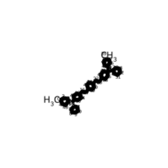 Cc1ccc(N(c2ccccc2)c2ccc(C=Cc3ccc(C=Cc4ccc(N(c5ccccc5)c5ccc(C)cc5)cc4)cc3)cc2)cc1